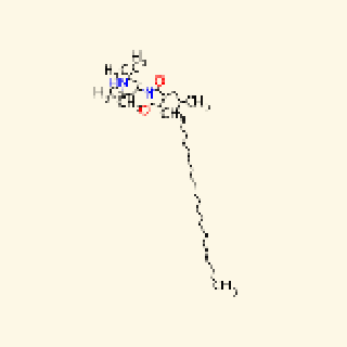 CCCCCCCCCCCCCCCCCCCCCCC(C)CC1C(=O)N(C2CC(C)(C)NC(C)(C)C2)C(=O)C1C